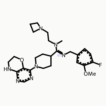 COc1cc(C/N=C(/C2CCN(c3ncnc4c3OCCN4)CC2)N(C)CCN2CCC2)ccc1F